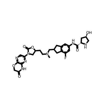 CN(CCC1CN(c2cnc3c(n2)NC(=O)CO3)C(=O)O1)CC1Cc2cc(NC(=O)[C@@H]3C[C@@H](O)CN3)cc(F)c2C1